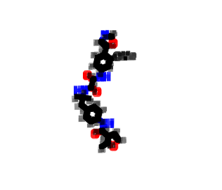 COc1cc(NC(=O)C(=O)NC(C)(C)Cc2ccc(NC(=O)c3ccoc3C)cc2)ccc1-c1cnco1